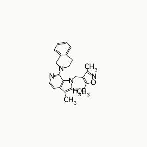 Cc1noc(C)c1Cn1c(C)c(C)c2ccnc(N3CCc4ccccc4C3)c21